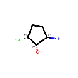 N[C@@H]1CC[C@@H](F)[C@H]1O